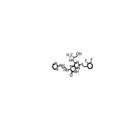 C[C@H](CO)Nc1nc(SCc2cccc(F)c2F)nc2[nH]c(=O)c(NCCNc3ncccn3)nc12